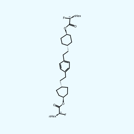 CCCCCC[C@H](F)C(=O)O[C@H]1CC[C@H](CCc2ccc(CC[C@H]3CC[C@H](OC(=O)[C@@H](F)CCCCCC)CC3)cc2)CC1